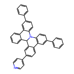 c1ccc(-c2ccc3c(c2)-c2ccccc2C2c4cc(-c5ccncc5)ccc4-c4cc(-c5ccccc5)ccc4N32)cc1